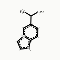 COC(c1ccc2nccn2c1)C(F)(F)F